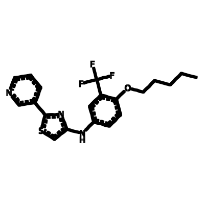 CCCCCOc1ccc(Nc2csc(-c3cccnc3)n2)cc1C(F)(F)F